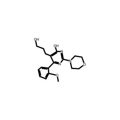 COc1ccccc1-c1nc(N2CCOCC2)nc(O)c1CCCO